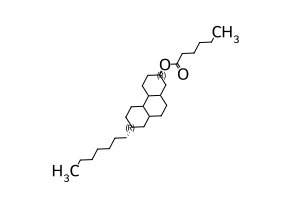 CCCCCCC[C@@H]1CCC2C(CCC3C[C@H](OC(=O)CCCCC)CCC32)C1